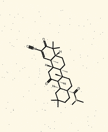 [C-]#[N+]C1=C[C@]2(C)[C@H]3CC(=O)[C@@H]4[C@@H]5CC(C)(C)CC[C@]5(C(=O)N(C)C)CC[C@@]4(C)[C@]3(C)CC[C@H]2C(C)(C)C1=O